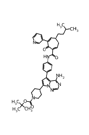 CC(C)CCC1C=C(c2cccnc2)C(=O)C(C(=O)Nc2ccc(-c3cc(C4CCN(C(=O)OC(C)(C)C)CC4)n4ncnc(N)c34)cc2)=CC1